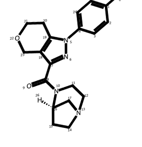 COc1ccc(-n2nc(C(=O)N3CCN4CC[C@@H]3C4)c3c2CCOC3)cc1